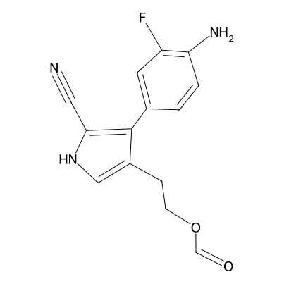 N#Cc1[nH]cc(CCOC=O)c1-c1ccc(N)c(F)c1